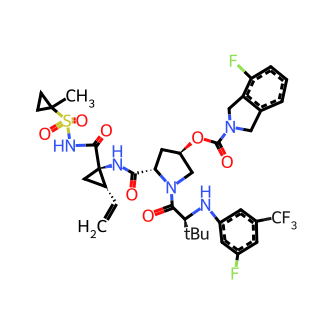 C=C[C@@H]1C[C@]1(NC(=O)[C@@H]1C[C@@H](OC(=O)N2Cc3cccc(F)c3C2)CN1C(=O)[C@@H](Nc1cc(F)cc(C(F)(F)F)c1)C(C)(C)C)C(=O)NS(=O)(=O)C1(C)CC1